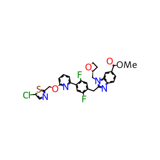 COC(=O)c1ccc2nc(Cc3cc(F)c(-c4cccc(OCc5ncc(Cl)s5)n4)cc3F)n(C[C@@H]3CCO3)c2c1